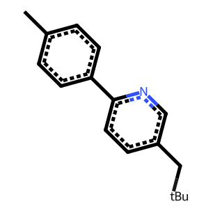 Cc1ccc(-c2ccc(CC(C)(C)C)cn2)cc1